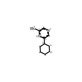 CC(C)(C)c1cncc(C2CCCCC2)n1